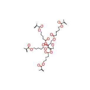 C=C(C)C(=O)OCCCCC(=O)OCC1OC[C@@H](OC(=O)CCCCOC(=O)C(=C)C)[C@H](OC(O)CCCCOC(=O)C(=C)C)[C@H]1OC(=O)CCCCOC(=O)C(=C)C